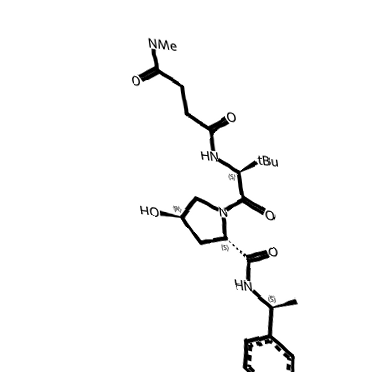 CNC(=O)CCC(=O)N[C@H](C(=O)N1C[C@H](O)C[C@H]1C(=O)N[C@@H](C)c1ccccc1)C(C)(C)C